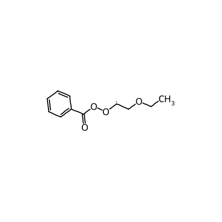 CCOC[CH]OOC(=O)c1ccccc1